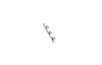 CCCCCC(=O)CCCCCC(=O)CCCCCC(=O)CCCC